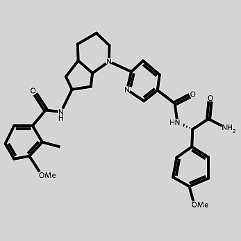 COc1ccc([C@H](NC(=O)c2ccc(N3CCCC4CC(NC(=O)c5cccc(OC)c5C)CC43)nc2)C(N)=O)cc1